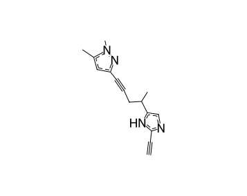 C#Cc1ncc(C(C)CC#Cc2cc(C)n(C)n2)[nH]1